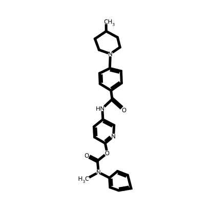 CC1CCN(c2ccc(C(=O)Nc3ccc(OC(=O)N(C)c4ccccc4)nc3)cc2)CC1